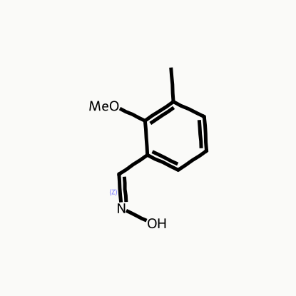 COc1c(C)cccc1/C=N\O